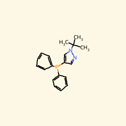 CC(C)(C)n1cc(P(c2ccccc2)c2ccccc2)cn1